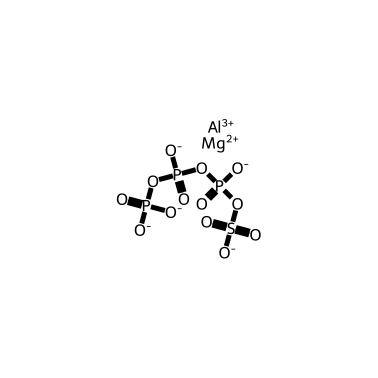 O=P([O-])([O-])OP(=O)([O-])OP(=O)([O-])OS(=O)(=O)[O-].[Al+3].[Mg+2]